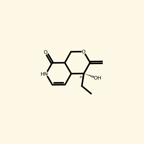 C=C1OCC2C(=O)NC=CC2[C@]1(O)CC